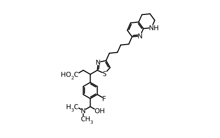 CN(C)C(O)c1ccc(C(CC(=O)O)c2nc(CCCCc3ccc4c(n3)NCCC4)cs2)cc1F